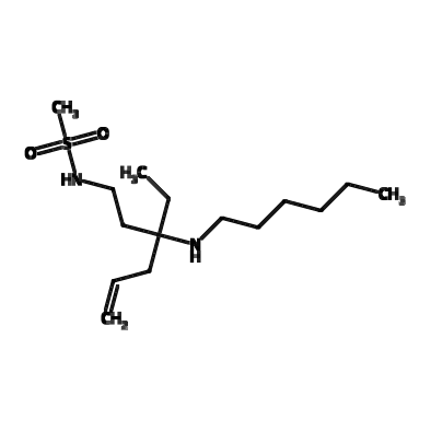 C=CCC(CC)(CCNS(C)(=O)=O)NCCCCCC